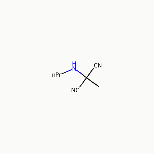 CCCNC(C)(C#N)C#N